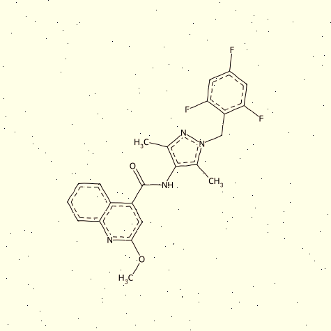 COc1cc(C(=O)Nc2c(C)nn(Cc3c(F)cc(F)cc3F)c2C)c2ccccc2n1